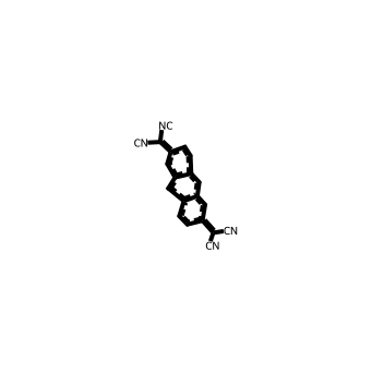 [C-]#[N+]C([N+]#[C-])=c1ccc2cc3cc(=C(C#N)C#N)ccc3cc2c1